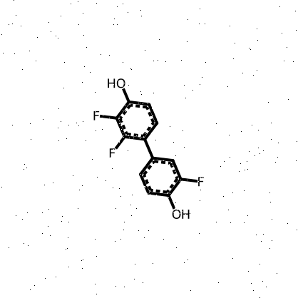 Oc1ccc(-c2ccc(O)c(F)c2F)cc1F